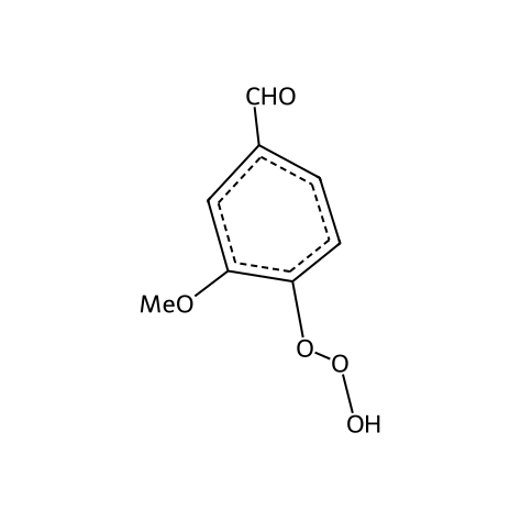 COc1cc(C=O)ccc1OOO